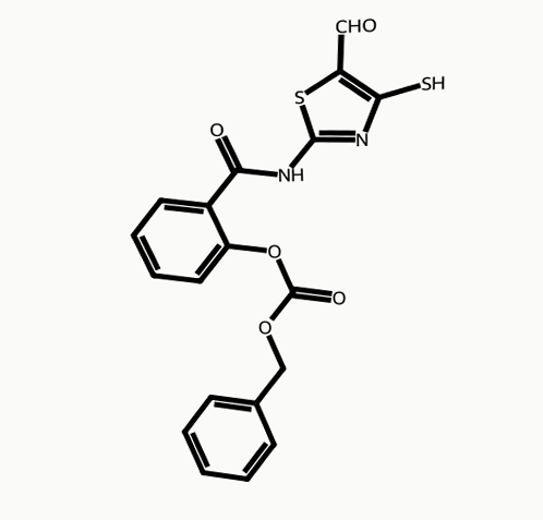 O=Cc1sc(NC(=O)c2ccccc2OC(=O)OCc2ccccc2)nc1S